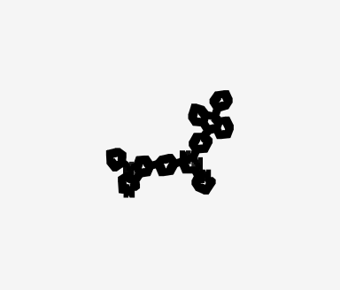 c1ccc(-c2c3ccccc3c(-c3ccc(-c4nc(-c5ccc(-c6ccc7c(c6)c6cnccc6n7-c6ccccc6)cc5)cc(-c5ccccn5)n4)cc3)c3ccccc23)cc1